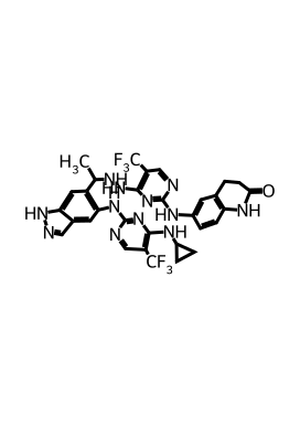 CC(NNc1nc(Nc2ccc3c(c2)CCC(=O)N3)ncc1C(F)(F)F)c1cc2[nH]ncc2cc1Nc1ncc(C(F)(F)F)c(NC2CC2)n1